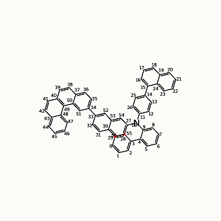 c1ccc(-c2ccccc2N(c2ccc(-c3cccc4ccccc34)cc2)c2ccc3ccc(-c4ccc5ccc6ccc7ccccc7c6c5c4)cc3c2)cc1